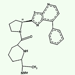 CNC(C)C1CCCC(C(=O)N2CCC[C@H]2c2nc3c(-c4ccccc4)ccnc3s2)N1